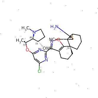 CO[C@H]1CCN(C)[C@@H]1[C@H](C)Oc1cc(Cl)nc(-c2noc3c2CCC[C@@]32CCCc3sc(N)c(C#N)c32)n1